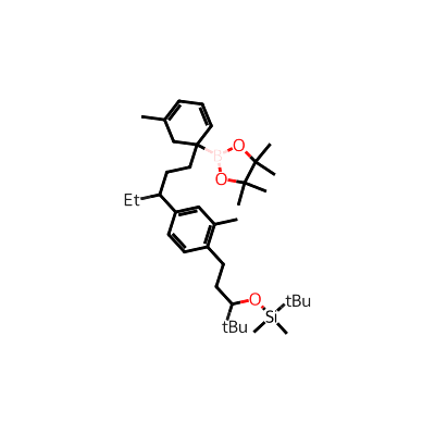 CCC(CCC1(B2OC(C)(C)C(C)(C)O2)C=CC=C(C)C1)c1ccc(CCC(O[Si](C)(C)C(C)(C)C)C(C)(C)C)c(C)c1